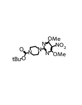 COc1nc(N2CCN(C(=O)OC(C)(C)C)CC2)nc(OC)c1[N+](=O)[O-]